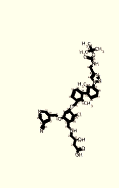 Cc1c(COc2cc(OCc3cncc(C#N)c3)c(CNC[C@@H](O)CC(=O)O)cc2Cl)cccc1-c1cccc(-n2cc(CNC(=O)OC(C)(C)C)nn2)c1C